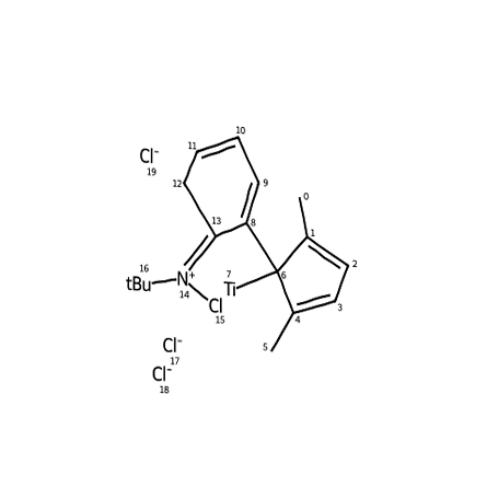 CC1=CC=C(C)[C]1([Ti])C1=CC=CCC1=[N+](Cl)C(C)(C)C.[Cl-].[Cl-].[Cl-]